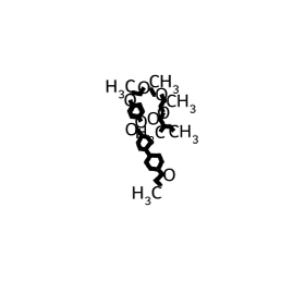 CCCC(=O)C1CCC(C2CCC(C(=O)Oc3ccc(OC(C)COC(C)COC(C)COC(=O)C(C)CC)cc3)CC2)CC1